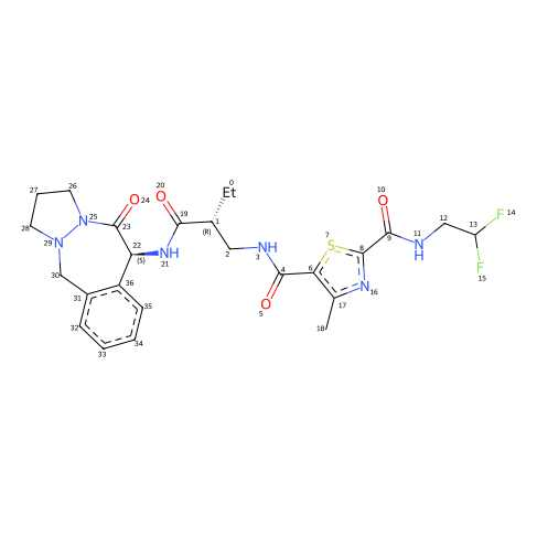 CC[C@H](CNC(=O)c1sc(C(=O)NCC(F)F)nc1C)C(=O)N[C@@H]1C(=O)N2CCCN2Cc2ccccc21